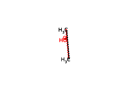 CCCCCCCC=C(CCCCCCCCCCCCCCCCCC)C(=O)O